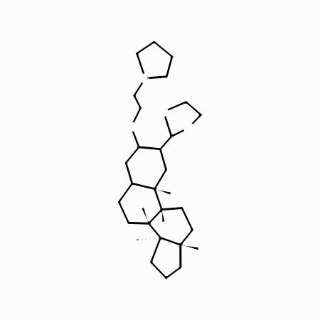 C[C@@]12CCC[C@@]1(O)[C@@H]1CCC3CC(OCCN4CCCC4)C(C4OCCO4)C[C@]3(C)[C@@H]1CC2